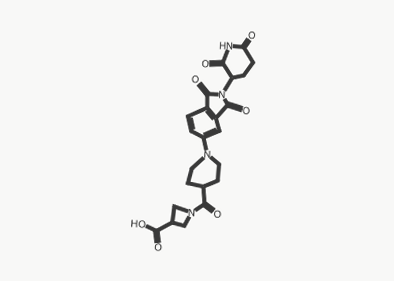 O=C1CCC(N2C(=O)c3ccc(N4CCC(C(=O)N5CC(C(=O)O)C5)CC4)cc3C2=O)C(=O)N1